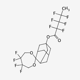 CC(F)(F)C(F)(F)C(F)(F)C(=O)OC12CC3CC(C1)C1(OCC(F)(F)C(F)(F)CO1)C(C3)C2